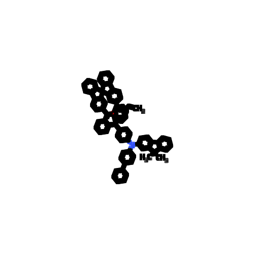 C=Cc1ccccc1-c1ccc2c(c1)C1(c3ccccc3-2)c2ccccc2-c2ccc(-c3c4ccccc4c(-c4ccc(N(c5ccc(-c6ccccc6)cc5)c5ccc6c(c5)C(C)(C)c5ccccc5-6)cc4)c4ccccc34)cc21